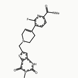 CNC(=O)c1ccc(C2=CCN(Cc3cc4[nH]c(=O)n(C)c(=O)c4s3)CC2)c(F)n1